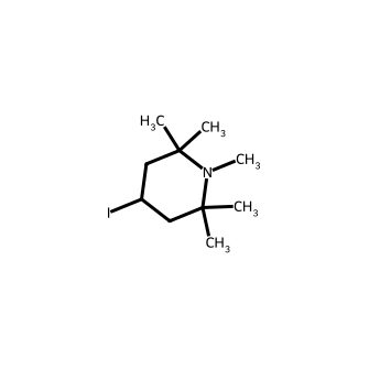 CN1C(C)(C)CC(I)CC1(C)C